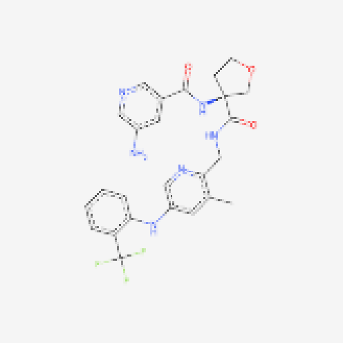 Cc1cc(Nc2ccccc2C(F)(F)F)cnc1CNC(=O)[C@]1(NC(=O)c2cncc(N)c2)CCOC1